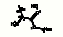 CCCCCCOC(=O)[C@@H](N)[C@@H](C)CC.Cl